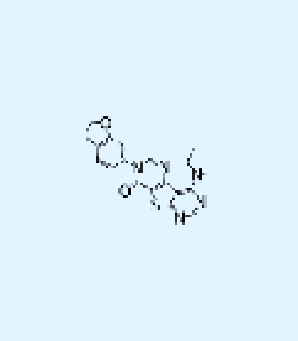 CCN(C)c1ncnc2sc3c(=O)n(-c4ccc5c(c4)OCC5)cnc3c12